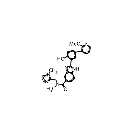 COc1ncccc1-c1ccc(O)c(-c2nc3cc(C(=O)N(C)Cc4nncn4C)ccc3[nH]2)c1